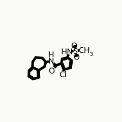 CS(=O)(=O)Nc1ccc(Cl)c(C(=O)NC2CCCc3ccccc3C2)c1